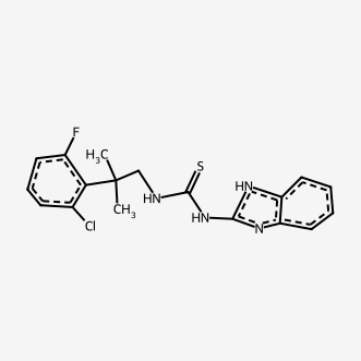 CC(C)(CNC(=S)Nc1nc2ccccc2[nH]1)c1c(F)cccc1Cl